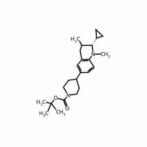 CC1Cc2cc(C3CCN(C(=O)OC(C)(C)C)CC3)ccc2N(C)[C@H]1C1CC1